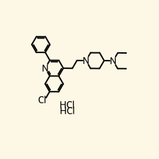 CCN(CC)C1CCN(CCc2cc(-c3ccccc3)nc3cc(Cl)ccc23)CC1.Cl.Cl